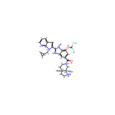 Cn1c(-c2cc3cccnc3n2CC2CC2)nc2cc(C(=O)N3CC[C@H]4CCN[C@H]4C3)cc(OC(F)F)c21